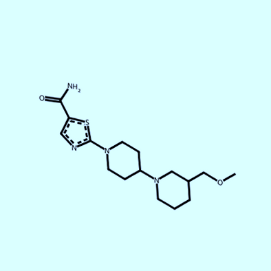 COCC1CCCN(C2CCN(c3ncc(C(N)=O)s3)CC2)C1